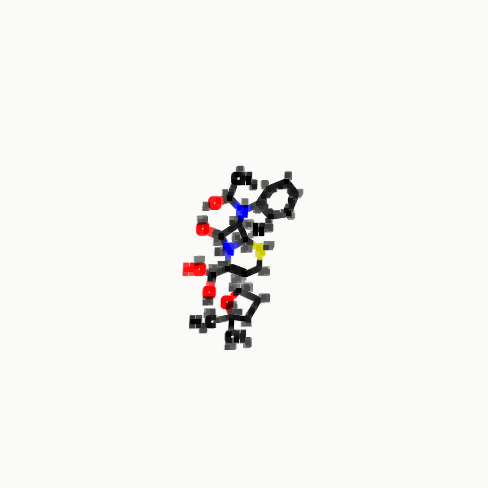 CC(=O)N(c1ccccc1)[C@@H]1C(=O)N2C(C(=O)O)=C([C@@H]3CCC(C)(C)O3)CS[C@H]12